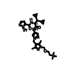 Cc1nn(COCC[Si](C)(C)C)c(C)c1Cn1cc(NC(=O)[C@@H](NC(=O)c2ccnn2C(C)C)C(C2CC2)C2CC2)cn1